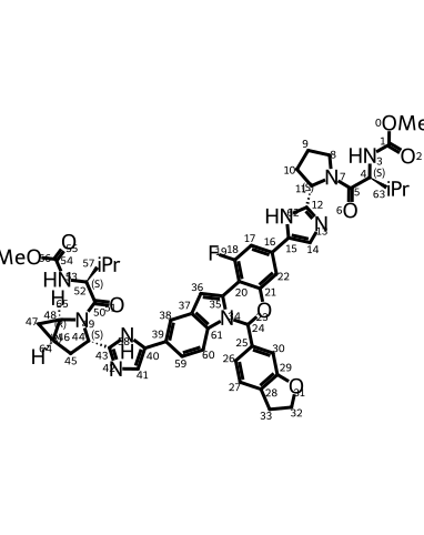 COC(=O)N[C@H](C(=O)N1CCC[C@H]1c1ncc(-c2cc(F)c3c(c2)OC(c2ccc4c(c2)OCC4)n2c-3cc3cc(-c4cnc([C@@H]5C[C@H]6C[C@H]6N5C(=O)[C@@H](NC(=O)OC)C(C)C)[nH]4)ccc32)[nH]1)C(C)C